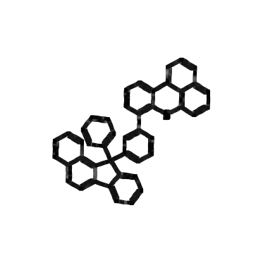 c1ccc(C2(c3cccc(-c4cccc5c4Sc4cccc6cccc-5c46)c3)c3ccccc3-c3ccc4ccccc4c32)cc1